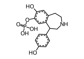 O=P(O)(O)Oc1cc2c(cc1O)CCNCC2c1ccc(O)cc1